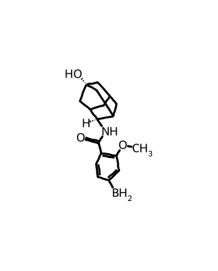 Bc1ccc(C(=O)N[C@H]2C3CC4CC2C[C@](O)(C4)C3)c(OC)c1